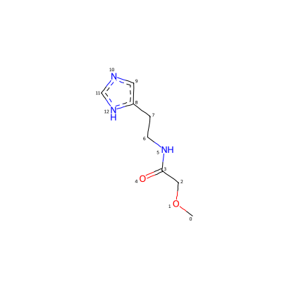 COCC(=O)NCCc1cnc[nH]1